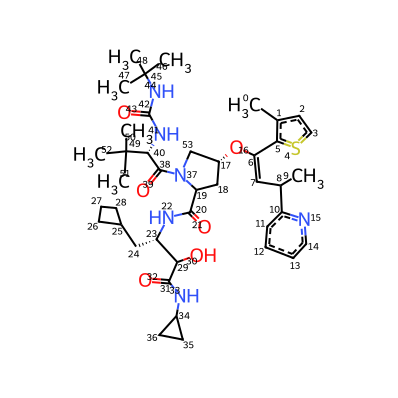 Cc1ccsc1/C(=C\C(C)c1ccccn1)O[C@@H]1CC(C(=O)N[C@@H](CC2CCC2)C(O)C(=O)NC2CC2)N(C(=O)[C@@H](NC(=O)NC(C)(C)C)C(C)(C)C)C1